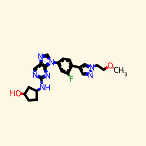 COCCn1cc(-c2ccc(-n3cnc4cnc(NC5CCC(O)C5)nc43)cc2F)cn1